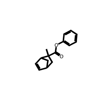 CC1(C(=O)Oc2ccccc2)CC2C=CC1C2